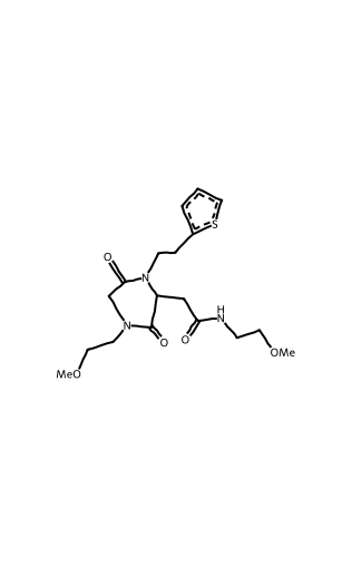 COCCNC(=O)CC1C(=O)N(CCOC)CC(=O)N1CCc1cccs1